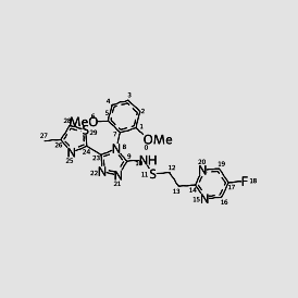 COc1cccc(OC)c1-n1c(NSCCc2ncc(F)cn2)nnc1-c1nc(C)cs1